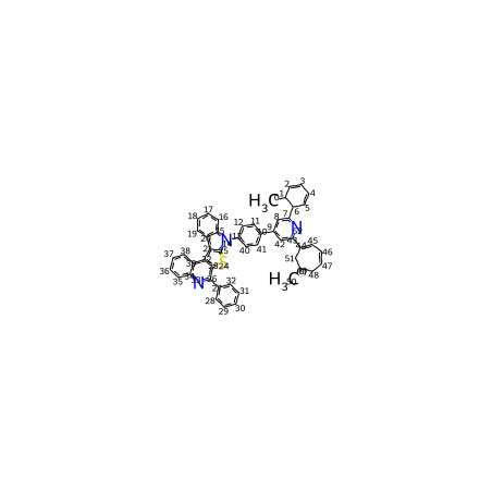 CC1C=CC=CC1c1cc(-c2ccc(-n3c4ccccc4c4c5c(sc43)c(-c3ccccc3)nc3ccccc35)cc2)cc(C2=CC=CC[C@H](C)C2)n1